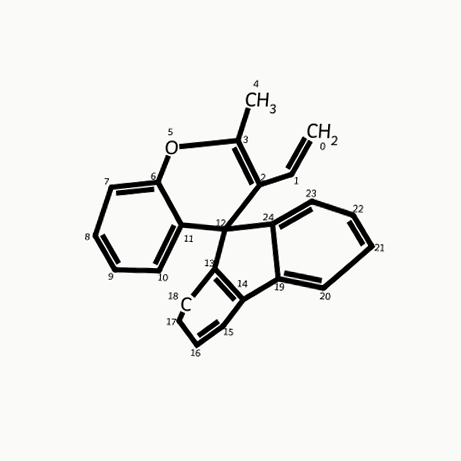 C=CC1=C(C)Oc2ccccc2C12C1=C(C=CCC1)c1ccccc12